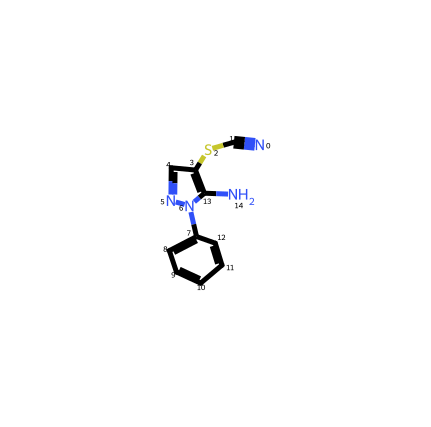 N#CSc1cnn(-c2ccccc2)c1N